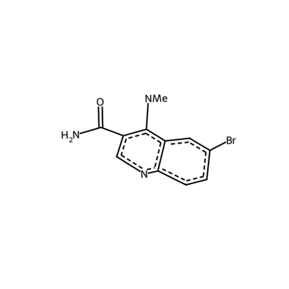 CNc1c(C(N)=O)cnc2ccc(Br)cc12